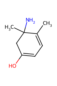 CC1=CC=C(O)CC1(C)N